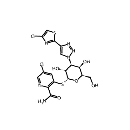 NC(=O)c1ncc(Cl)cc1S[C@H]1O[C@H](CO)[C@H](O)[C@H](n2cc(-c3nc(Cl)cs3)nn2)[C@H]1O